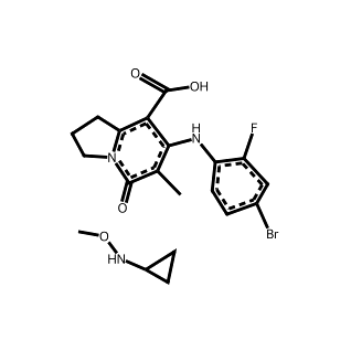 CONC1CC1.Cc1c(Nc2ccc(Br)cc2F)c(C(=O)O)c2n(c1=O)CCC2